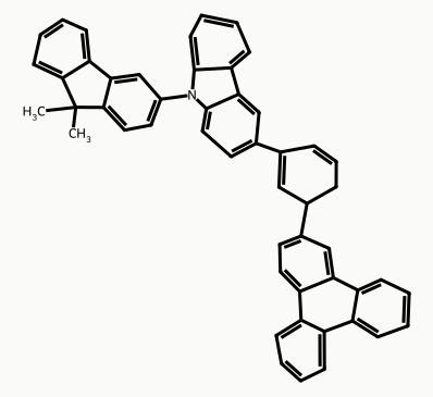 CC1(C)c2ccccc2-c2cc(-n3c4ccccc4c4cc(C5=CC(c6ccc7c8ccccc8c8ccccc8c7c6)CC=C5)ccc43)ccc21